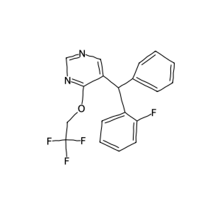 Fc1ccccc1C(c1ccccc1)c1cncnc1OCC(F)(F)F